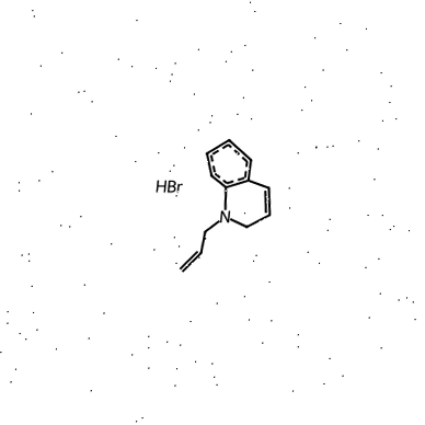 Br.C=CCN1CC=Cc2ccccc21